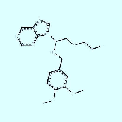 COc1ccc(CNC(CNCCO)n2cnc3cncnc32)cc1OC